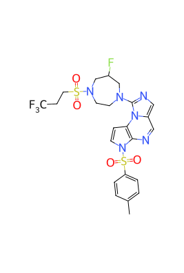 Cc1ccc(S(=O)(=O)n2ccc3c2ncc2cnc(N4CCN(S(=O)(=O)CCC(F)(F)F)CC(F)C4)n23)cc1